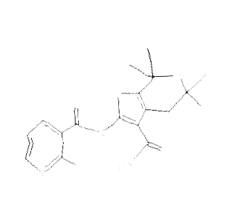 CC1(C)Cc2c(sc(NC(=O)c3cccnc3F)c2C(N)=O)C(C)(C)O1